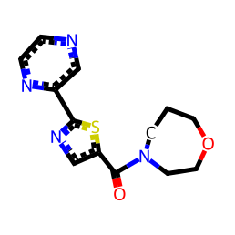 O=C(c1cnc(-c2cnccn2)s1)N1CCCOCC1